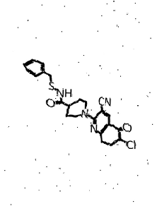 N#Cc1cc2c(nc1N1CCC(C(=O)NSCc3ccccc3)CC1)CCC(Cl)C2=O